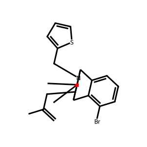 C=C(C)CC1C2c3c(Br)cccc3C(CC2(C)C)N1Cc1cccs1